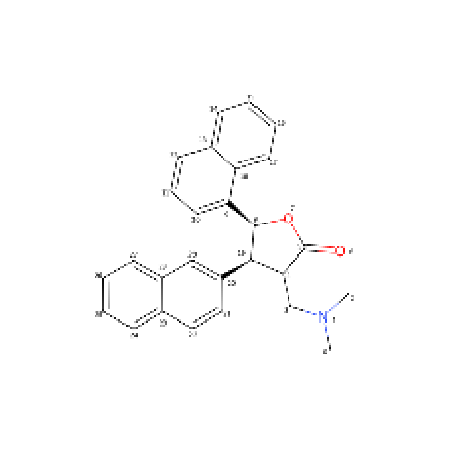 CN(C)CC1C(=O)O[C@H](c2cccc3ccccc23)[C@@H]1c1ccc2ccccc2c1